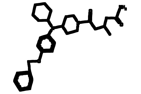 CC(CC(N)=O)CC(=O)N1CCC(N(c2ccc(OCc3ccccc3)cc2)C2CCCCC2)CC1